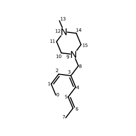 C\C=C/C(=C\C=C\C)CN1CCN(C)CC1